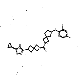 O=C(N1CC2(CCC(Cc3ncc(F)cc3F)C2)C1)N1CC2(CC(c3nnc(C4CC4)[nH]3)C2)C1